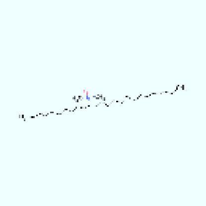 CCCCCCCCCCCCCCC(CCCCCCCCCC)[N+](C)(C)[O-]